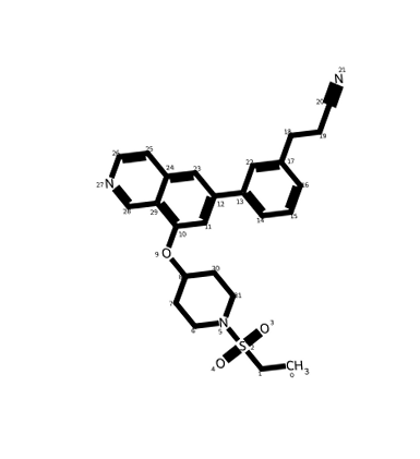 CCS(=O)(=O)N1CCC(Oc2cc(-c3cccc(CCC#N)c3)cc3ccncc23)CC1